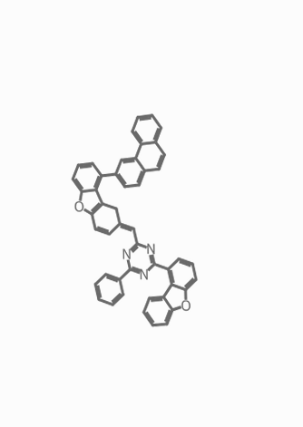 C1=Cc2oc3cccc(-c4ccc5ccc6ccccc6c5c4)c3c2C/C1=C/c1nc(-c2ccccc2)nc(-c2cccc3oc4ccccc4c23)n1